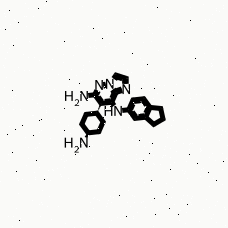 Nc1nn2ccnc2c(Nc2ccc3c(c2)CCC3)c1[C@H]1CC[C@H](N)CC1